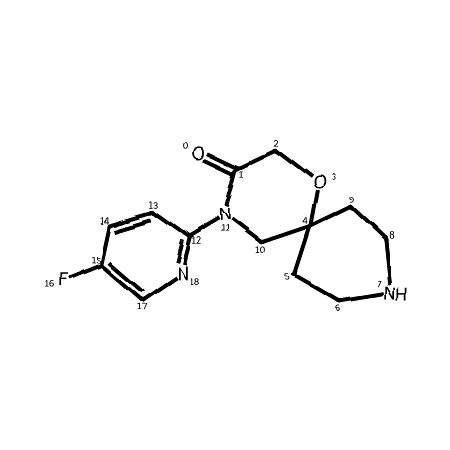 O=C1COC2(CCNCC2)CN1c1ccc(F)cn1